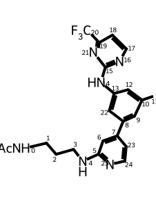 CC(=O)NCCCNc1cc(-c2cc(C)cc(Nc3nccc(C(F)(F)F)n3)c2)ccn1